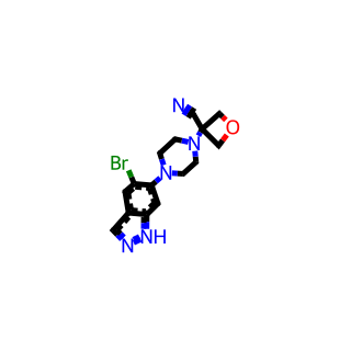 N#CC1(N2CCN(c3cc4[nH]ncc4cc3Br)CC2)COC1